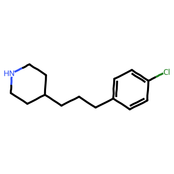 Clc1ccc(CCCC2CCNCC2)cc1